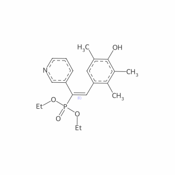 CCOP(=O)(OCC)/C(=C/c1cc(C)c(O)c(C)c1C)c1cccnc1